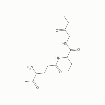 CCC(=O)CNC(=O)C(CC)NC(=O)CCC(N)C(C)=O